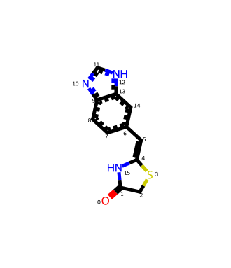 O=C1CSC(=Cc2ccc3nc[nH]c3c2)N1